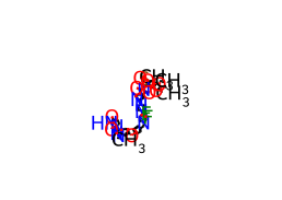 CCOc1cc([C@@H](CS(C)(=O)=O)N2C(=O)c3cnc(N4CCN([C@@H]5CCN(Cc6ccc(Oc7ccc8c(N9CCC(=O)NC9=O)nn(C)c8c7)cc6)CC5(F)F)CC4)cc3C2=O)ccc1OC